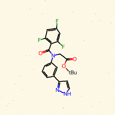 CC(C)(C)OC(=O)CN(C(=O)c1c(F)cc(F)cc1F)c1cccc(-c2cc[nH]n2)c1